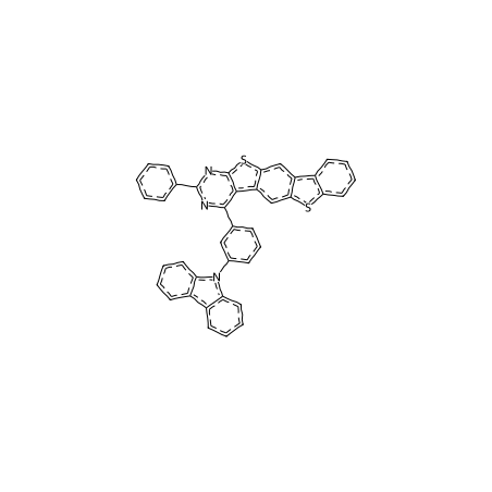 c1ccc(-c2nc(-c3cccc(-n4c5ccccc5c5ccccc54)c3)c3c(n2)sc2cc4c(cc23)sc2ccccc24)cc1